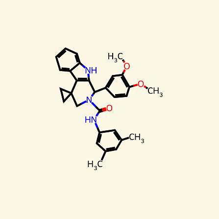 COc1ccc(C2c3[nH]c4ccccc4c3C3(CC3)CN2C(=O)Nc2cc(C)cc(C)c2)cc1OC